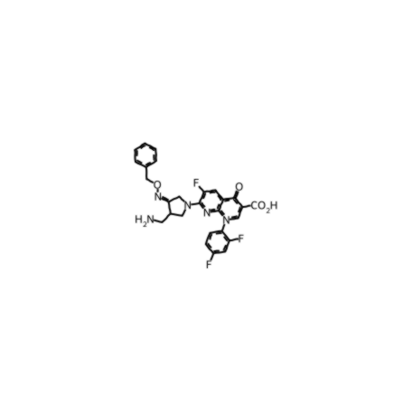 NCC1CN(c2nc3c(cc2F)c(=O)c(C(=O)O)cn3-c2ccc(F)cc2F)CC1=NOCc1ccccc1